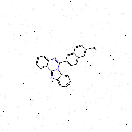 Bc1ccc2cc(-c3nc4ccccc4c4nc5ccccc5n34)ccc2c1